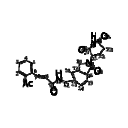 CC(=O)c1ccccc1C#CC(=O)NCc1ccc2c(c1)CN(C1CCC(=O)NC1=O)C2=O